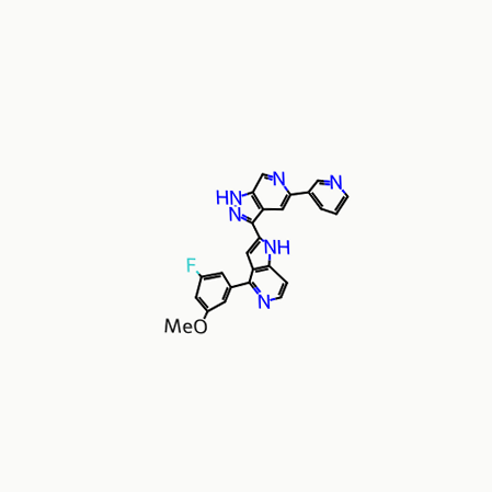 COc1cc(F)cc(-c2nccc3[nH]c(-c4n[nH]c5cnc(-c6cccnc6)cc45)cc23)c1